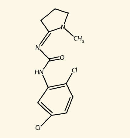 CN1CCCC1=NC(=O)Nc1cc(Cl)ccc1Cl